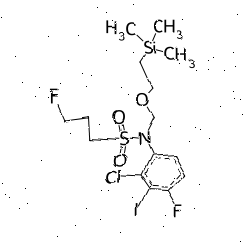 C[Si](C)(C)CCOCN(c1ccc(F)c(I)c1Cl)S(=O)(=O)CCCF